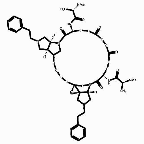 CN[C@@H](C)C(=O)N[C@H]1COC(=O)CCC(=O)OC[C@H](NC(=O)[C@H](C)NC)C(=O)N2C[C@@H](OCCO[C@@H]3CN(C1=O)[C@@H]1CC(CCc4ccccc4)C[C@@H]13)[C@H]1CN(CCc3ccccc3)C[C@H]12